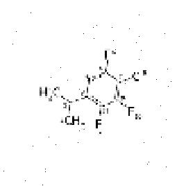 CC(C)c1cc(F)c(Cl)c(F)c1F